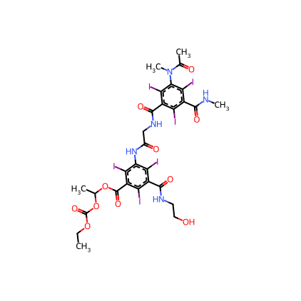 CCOC(=O)OC(C)OC(=O)c1c(I)c(NC(=O)CNC(=O)c2c(I)c(C(=O)NC)c(I)c(N(C)C(C)=O)c2I)c(I)c(C(=O)NCCO)c1I